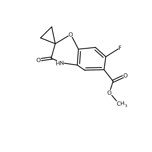 COC(=O)c1cc2c(cc1F)OC1(CC1)C(=O)N2